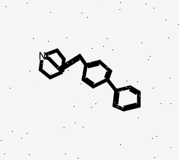 C(=C1CN2CCC1CC2)c1ccc(-c2ccccc2)cc1